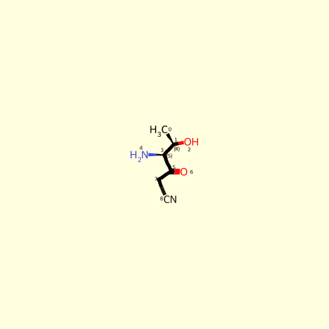 C[C@@H](O)[C@H](N)C(=O)CC#N